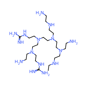 CCNCCN(CCN)CCN(CCNCCN)CCN(CCNC(=N)N)CCN(CCN)CCNC(=N)N